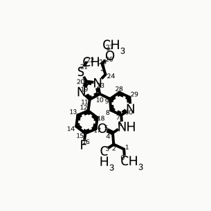 CCC(C)C(=O)Nc1cc(-c2c(-c3ccc(F)cc3)nc(SC)n2CCOC)ccn1